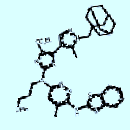 CCOC(=O)c1nc(N(CCCOC)c2cc(C)c(Nc3nc4ccccc4s3)nn2)sc1-c1cnn(CC23CC4CC(CC(C4)C2)C3)c1C